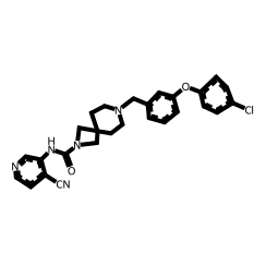 N#Cc1ccncc1NC(=O)N1CC2(CCN(Cc3cccc(Oc4ccc(Cl)cc4)c3)CC2)C1